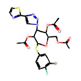 CC(=O)OCC1OC(Sc2ccc(F)c(Br)c2)C(OC(C)=O)C(n2cc(-c3nccs3)nn2)C1OC(C)=O